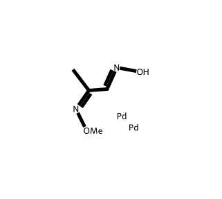 CON=C(C)C=NO.[Pd].[Pd]